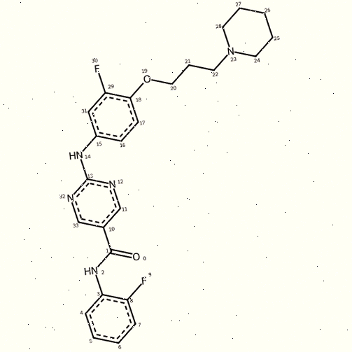 O=C(Nc1ccccc1F)c1cnc(Nc2ccc(OCCCN3CCCCC3)c(F)c2)nc1